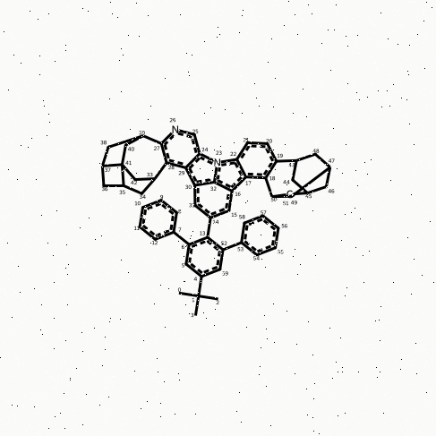 CC(C)(C)c1cc(-c2ccccc2)c(-c2cc3c4c5c(ccc4n4c6cnc7c(c6c(c2)c34)C2CC3CC4CC7CC43C2)C2CC3CC(C2)CC5C3)c(-c2ccccc2)c1